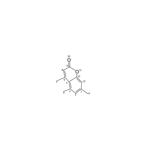 Cc1cc(C)c2c(C)cc(=O)oc2c1